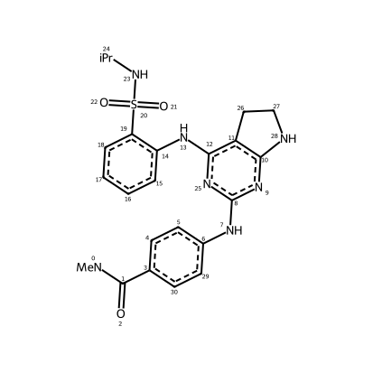 CNC(=O)c1ccc(Nc2nc3c(c(Nc4ccccc4S(=O)(=O)NC(C)C)n2)CCN3)cc1